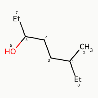 CCC(C)CCC(O)CC